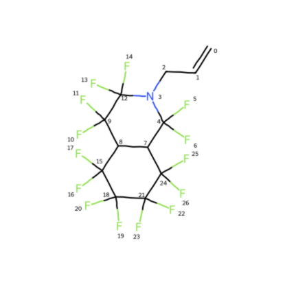 C=CCN1C(F)(F)C2C(C(F)(F)C1(F)F)C(F)(F)C(F)(F)C(F)(F)C2(F)F